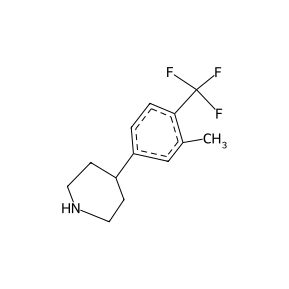 Cc1cc(C2CCNCC2)ccc1C(F)(F)F